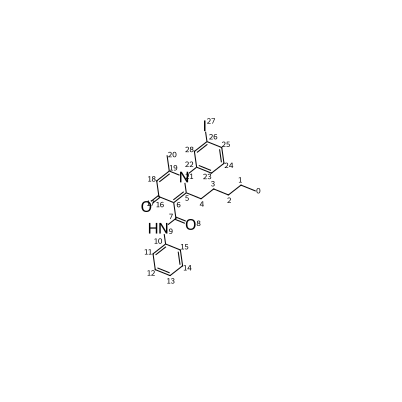 CCCCCc1c(C(=O)Nc2ccccc2)c(=O)cc(C)n1-c1cccc(I)c1